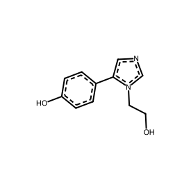 OCCn1cncc1-c1ccc(O)cc1